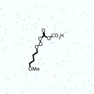 COCCCCOOOC(=O)OC(=O)O